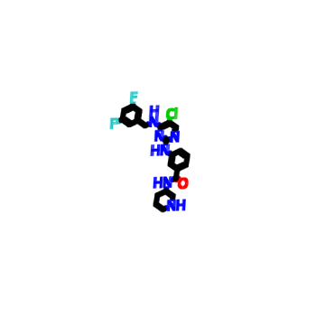 O=C(NC1CCCNC1)c1cccc(Nc2ncc(Cl)c(NCc3cc(F)cc(F)c3)n2)c1